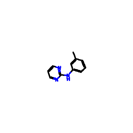 Cc1cccc(Nc2ncccn2)c1